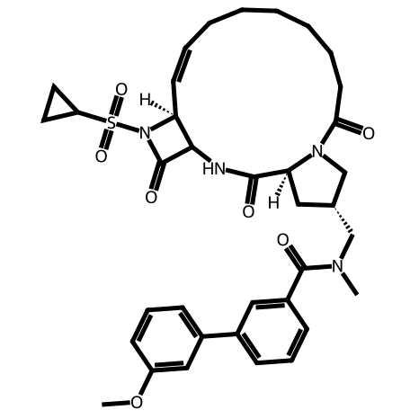 COc1cccc(-c2cccc(C(=O)N(C)C[C@@H]3C[C@H]4C(=O)NC5C(=O)N(S(=O)(=O)C6CC6)[C@H]5/C=C\CCCCCCC(=O)N4C3)c2)c1